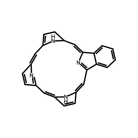 C1=CC2=NC1=CC1=CCC(C=C3N=C(C=c4ccc([nH]4)=C2)c2ccccc23)N1